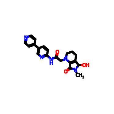 CN1C(=O)C2=C(CCCN2CC(=O)Nc2ccc(-c3ccncc3)cn2)C1O